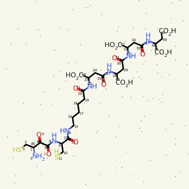 N[C@@H](CS)C(=O)C(=O)NC(CS)C(=O)NCCCCCC(=O)NC(CC(=O)NC(CC(=O)NC(CC(=O)NC(CC(=O)O)C(=O)O)C(=O)O)C(=O)O)C(=O)O